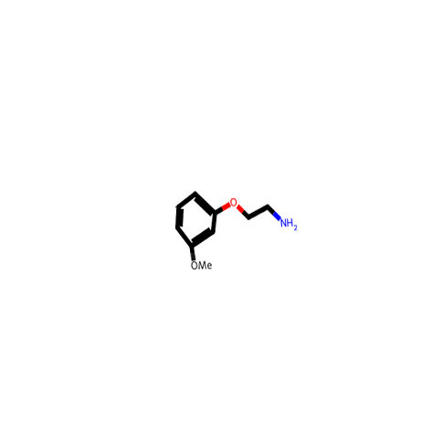 COc1c[c]cc(OCCN)c1